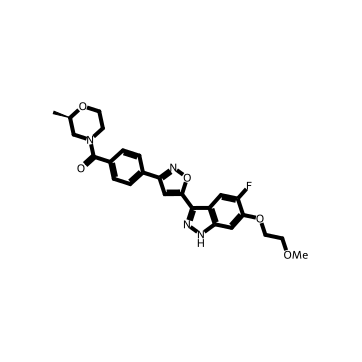 COCCOc1cc2[nH]nc(-c3cc(-c4ccc(C(=O)N5CCO[C@H](C)C5)cc4)no3)c2cc1F